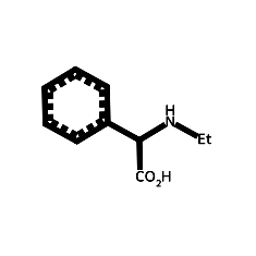 CCNC(C(=O)O)c1ccccc1